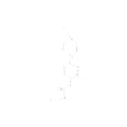 CC(=O)N1CCN(c2ccc(CNC(=O)C(F)(F)F)c(F)c2)CC1